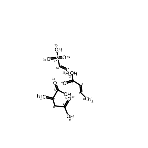 C/C=C/C(=O)O.C=C(CC(=O)O)C(=O)O.C=CS(=O)(=O)O